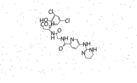 O=C(O)CC(NC(=O)CNC(=O)c1ccc(NC2=NCCCN2)cn1)c1cc(Cl)cc(Cl)c1O